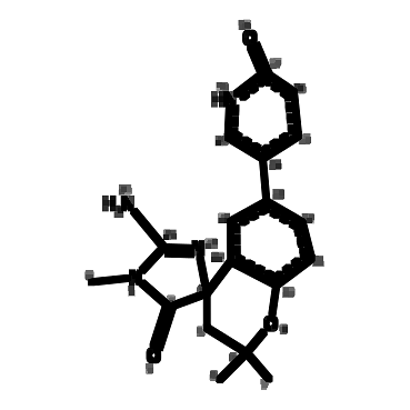 CN1C(=O)C2(CC(C)(C)Oc3ccc(-c4ccc(=O)[nH]c4)cc32)N=C1N